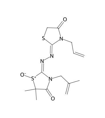 C=CCN1C(=O)CSC1=NN=C1N(CC(=C)C)C(=O)C(C)(C)[S+]1[O-]